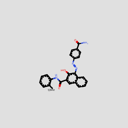 COc1ccccc1NC(=O)c1cc2ccccc2c(N=Nc2ccc(C(N)=O)cc2)c1O